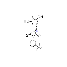 Cc1c(O)cc(/C=C2\SC(=S)N(c3cccc(C(F)(F)F)c3)C2=O)cc1O